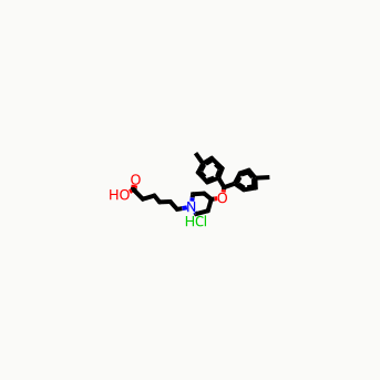 Cc1ccc(C(OC2CCN(CCCCCC(=O)O)CC2)c2ccc(C)cc2)cc1.Cl